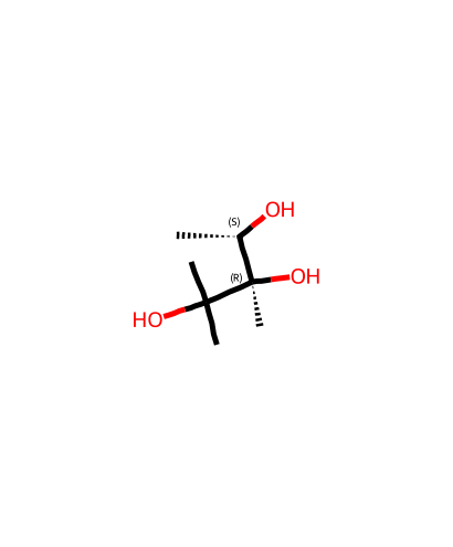 C[C@H](O)[C@@](C)(O)C(C)(C)O